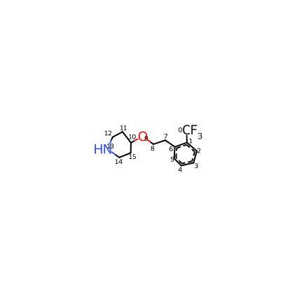 FC(F)(F)c1ccccc1CCOC1CCNCC1